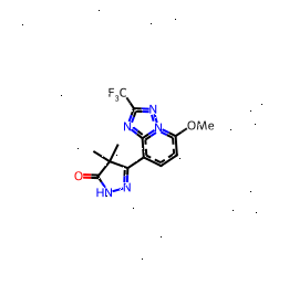 COc1ccc(C2=NNC(=O)C2(C)C)c2nc(C(F)(F)F)nn12